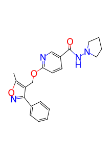 Cc1onc(-c2ccccc2)c1COc1ccc(C(=O)NN2CCCC2)cn1